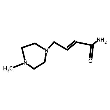 CN1CCN(CC=CC(N)=O)CC1